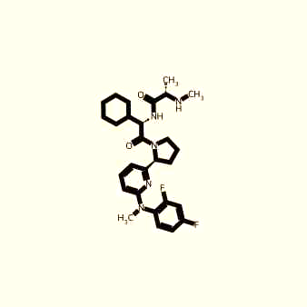 CN[C@@H](C)C(=O)N[C@H](C(=O)N1CCC[C@H]1c1cccc(N(C)c2ccc(F)cc2F)n1)C1CCCCC1